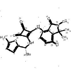 Cc1ccc([C@H](Nc2c(Nc3ccc(Cl)c4c3C(=O)N(C)C4(C)C)c(=O)c2=O)C(C)(C)C)o1